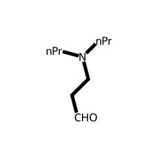 CCCN(CCC)CCC=O